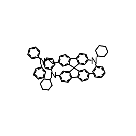 Cc1ccc2c(c1)C1(c3cc(CCN(c4ccccc4)c4ccccc4)ccc3-c3ccc(N(c4ccccc4)C4CCCCC4)cc31)c1cc(N(c3ccccc3)C3CCCCC3)ccc1-2